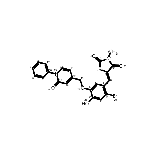 CN1C(=O)S/C(=C\c2cc(OCc3ccn(-c4ccccc4)c(=O)c3)c(O)cc2Br)C1=O